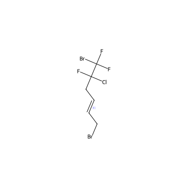 FC(F)(Br)C(F)(Cl)C/C=C/CBr